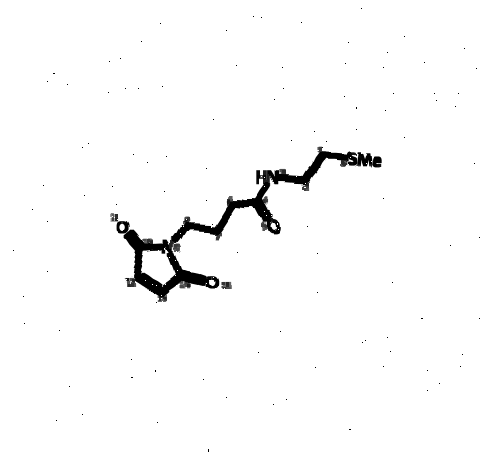 CSCCNC(=O)CCCN1C(=O)C=CC1=O